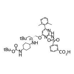 Cc1cccc(C)c1-c1cc(OC[C@@H](CC(C)(C)C)NC2CCC(NC(=O)OC(C)(C)C)CC2)nc(NS(=O)(=O)c2cccc(C(=O)O)c2)n1